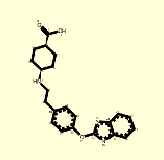 O=C(O)[C@H]1CC[C@@H](NCCc2ccc(Oc3nc4ccccc4s3)cc2)CC1